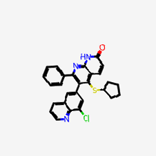 O=c1ccc2c(SC3CCCC3)c(-c3cc(Cl)c4ncccc4c3)c(-c3ccccc3)nc2[nH]1